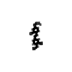 COc1ccc(/C=C/c2ccc(CBr)c(Cl)c2)c(Cl)c1